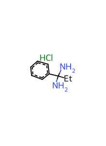 CCC(N)(N)c1ccccc1.Cl